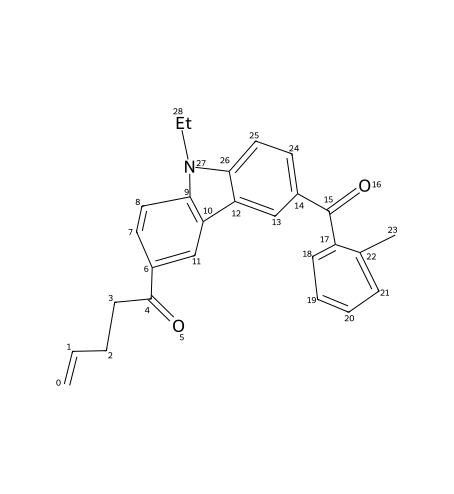 C=CCCC(=O)c1ccc2c(c1)c1cc(C(=O)c3ccccc3C)ccc1n2CC